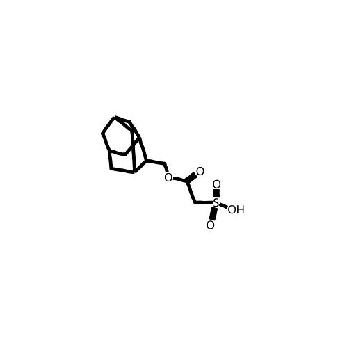 O=C(CS(=O)(=O)O)OCC1C2CC3CC(C2)CC1C3